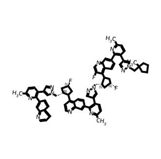 Cc1ccc(-c2cnn(C[C@@H]3C[C@@H](F)CC3c3ccnc4cc(-c5nc(C)ccc5-c5cnn(C[C@H]6C[C@@H](F)CC6c6c(F)cnc7cc(-c8nc(C)ccc8-c8cnn(CC9(C)CCCC9)c8)ccc67)c5)ccc34)c2)c(-c2ccc3cccnc3c2)n1